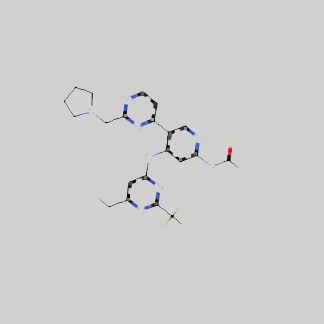 CCc1cc(Nc2cc(NC(C)=O)ncc2-c2ccnc(CN3CCCC3)n2)nc(C(C)(F)F)n1